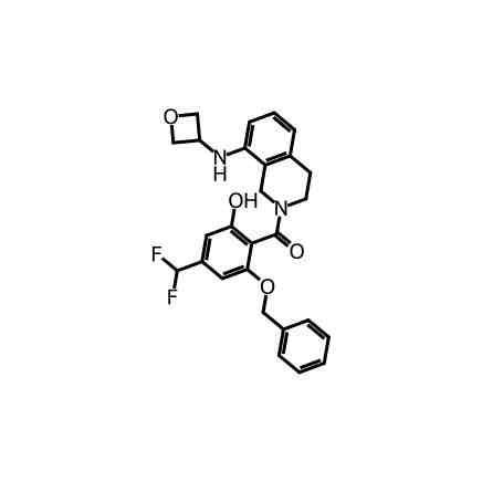 O=C(c1c(O)cc(C(F)F)cc1OCc1ccccc1)N1CCc2cccc(NC3COC3)c2C1